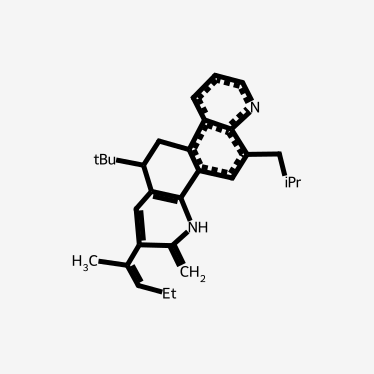 C=C1NC2=C(C=C1/C(C)=C\CC)C(C(C)(C)C)Cc1c2cc(CC(C)C)c2ncccc12